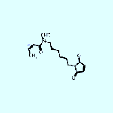 C/C=C\C(=O)N(C=O)CCCCCCN1C(=O)C=CC1=O